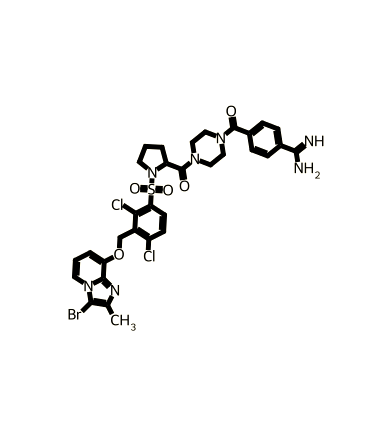 Cc1nc2c(OCc3c(Cl)ccc(S(=O)(=O)N4CCCC4C(=O)N4CCN(C(=O)c5ccc(C(=N)N)cc5)CC4)c3Cl)cccn2c1Br